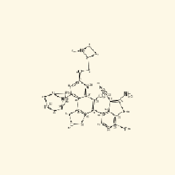 CN1CC[C@H]1COc1cc(N2C3CCC2CNC3)c2c3c(c(-c4ccc(F)c5sc(N)c(C#N)c45)c(Cl)c2n1)COC3